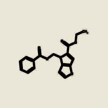 CCOC(=O)c1cc2occc2n1COC(=O)c1ccccc1